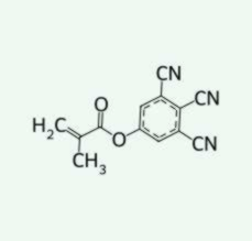 C=C(C)C(=O)Oc1cc(C#N)c(C#N)c(C#N)c1